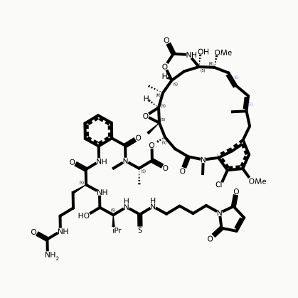 COc1cc2cc(c1Cl)N(C)C(=O)C[C@H](OC(=O)[C@H](C)N(C)C(=O)c1ccccc1NC(=O)[C@H](CCCNC(N)=O)NC(O)[C@@H](NC(=S)NCCCCN1C(=O)C=CC1=O)C(C)C)[C@]1(C)O[C@H]1[C@H](C)[C@@H]1C[C@@](O)(NC(=O)O1)[C@H](OC)/C=C/C=C(\C)C2